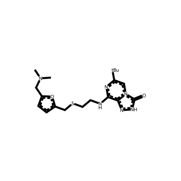 CN(C)Cc1ccc(CSCCNc2nc(C(C)(C)C)cn3c(=O)[nH]nc23)o1